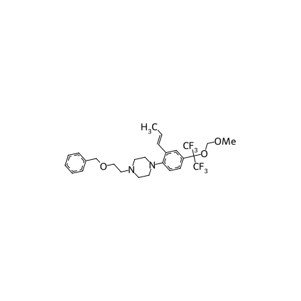 CC=Cc1cc(C(OCOC)(C(F)(F)F)C(F)(F)F)ccc1N1CCN(CCOCc2ccccc2)CC1